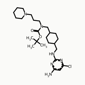 CC(C)(C)OC(=O)N(CCCN1CCCCC1)CC1CCC(CNc2nc(N)cc(Cl)n2)CC1